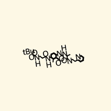 Cc1c(NC(=O)CCNC(=O)OC(C)(C)C)ccc2nc(NC(C)C(=O)N(C)CCc3ccccn3)oc(=O)c12